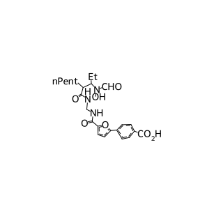 CCCCCC(C(=O)NCNC(=O)c1ccc(-c2ccc(C(=O)O)cc2)o1)C(CC)N(O)C=O